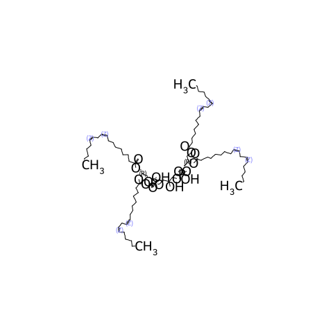 CCCCC/C=C\C/C=C\CCCCCCCC(=O)OC[C@H](COP(=O)(O)OCC(O)COP(=O)(O)OC[C@@H](COC(=O)CCCCCCC/C=C\C/C=C\CCCCC)OC(=O)CCCCCCC/C=C\C/C=C\CCCCC)OC(=O)CCCCCCC/C=C\C/C=C\CCCCC